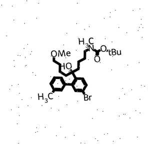 COCCCC[C@](O)(CCCCN(C)C(=O)OC(C)(C)C)c1ccc(Br)cc1-c1cccc(C)c1